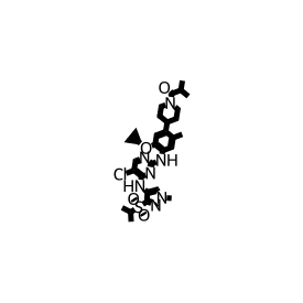 Cc1cc(Nc2ncc(Cl)c(Nc3cn(C)nc3S(=O)(=O)C(C)C)n2)c(OC2CC2)cc1C1CCN(C(=O)C(C)C)CC1